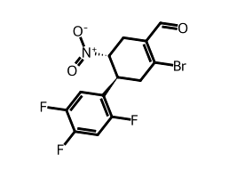 O=CC1=C(Br)C[C@@H](c2cc(F)c(F)cc2F)[C@H]([N+](=O)[O-])C1